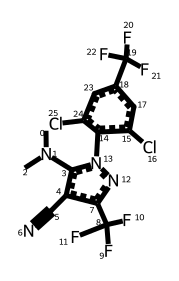 CN(C)c1c(C#N)c(C(F)(F)F)nn1-c1c(Cl)cc(C(F)(F)F)cc1Cl